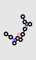 c1ccc(-c2ccc(-n3c4ccccc4c4c5cccc6c5c(cc43)Oc3cc(-c4ccc(-n5c7ccccc7c7cc(-c8ccccc8)ccc75)cc4)ccc3-6)cc2)cc1